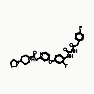 O=C(Cc1ccc(F)cc1)NC(=O)Nc1ccc(Oc2ccnc(NC(=O)N3CCC(N4CCCC4)CC3)c2)cc1F